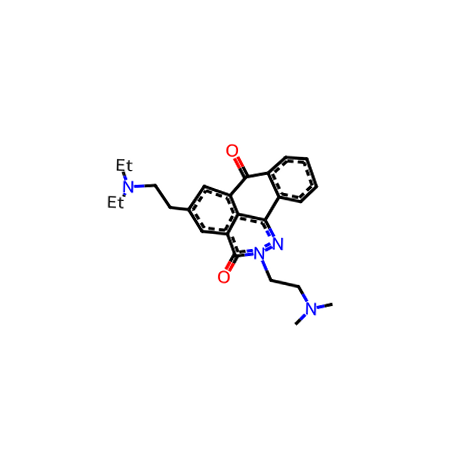 CCN(CC)CCc1cc2c3c(nn(CCN(C)C)c(=O)c3c1)-c1ccccc1C2=O